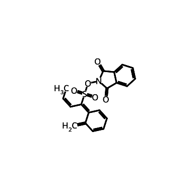 C=c1cccc/c1=C(/C=C\C)S(=O)(=O)ON1C(=O)c2ccccc2C1=O